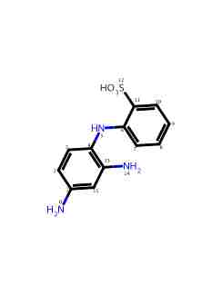 Nc1ccc(Nc2ccccc2S(=O)(=O)O)c(N)c1